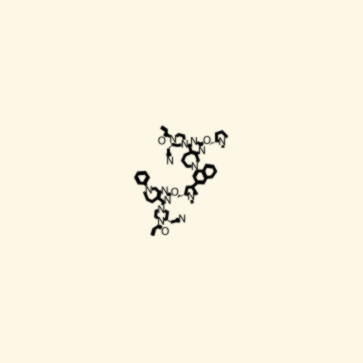 C=CC(=O)N1CCN(c2nc(OC[C@@H]3CC(c4cc5c(c(N6CCCc7c(nc(OC[C@@H]8CCCN8C)nc7N7CCN(C(=O)C=C)[C@@H](CC#N)C7)C6)c4)C=CCC5)CN3C)nc3c2CCCN(c2ccccc2)C3)C[C@@H]1CC#N